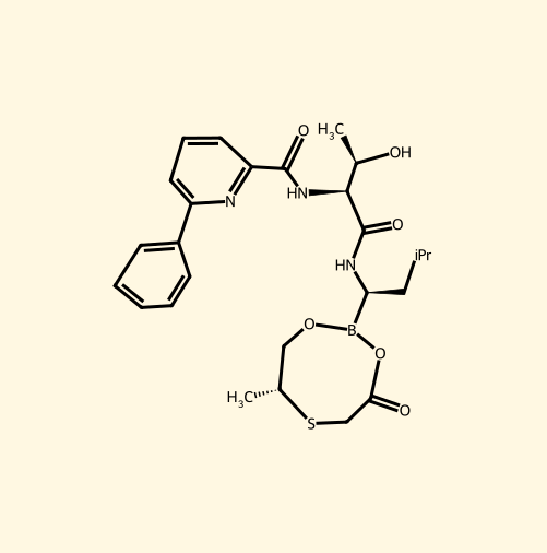 CC(C)C[C@H](NC(=O)[C@@H](NC(=O)c1cccc(-c2ccccc2)n1)[C@@H](C)O)B1OC[C@@H](C)SCC(=O)O1